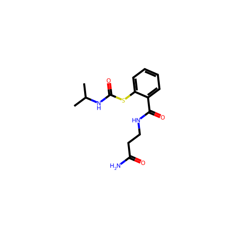 CC(C)NC(=O)Sc1ccccc1C(=O)NCCC(N)=O